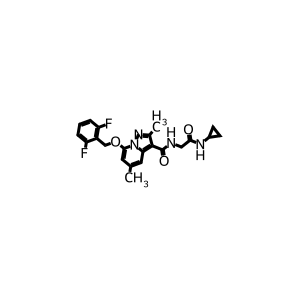 Cc1cc(OCc2c(F)cccc2F)n2nc(C)c(C(=O)NCC(=O)NC3CC3)c2c1